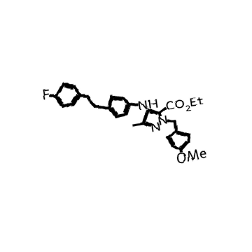 CCOC(=O)c1c(Nc2ccc(CCc3ccc(F)cc3)cc2)c(C)nn1Cc1ccc(OC)cc1